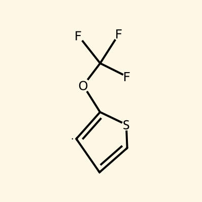 FC(F)(F)Oc1[c]ccs1